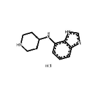 Cl.c1cc(NC2CCNCC2)c2[nH]cnc2c1